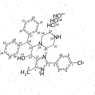 Cc1[nH]c(-c2ccc(Cl)cc2)nc1C(O)C(C(c1ccccc1)c1ccccc1)N1CCNCC1.Cl.Cl.Cl